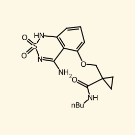 CCCCNC(=O)C1(COc2cccc3c2C(N)=NS(=O)(=O)N3)CC1